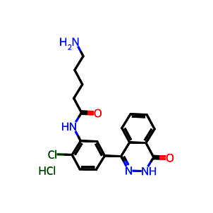 Cl.NCCCCC(=O)Nc1cc(-c2n[nH]c(=O)c3ccccc23)ccc1Cl